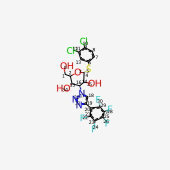 OCC1O[C@H](Sc2ccc(Cl)c(Cl)c2)C(O)[C@@H](n2cc(-c3c(F)c(F)c(F)c(F)c3F)nn2)[C@H]1O